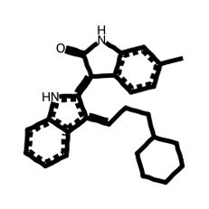 Cc1ccc2c(c1)NC(=O)/C2=c1\[nH]c2ccccc2\c1=C\CCC1CCCCC1